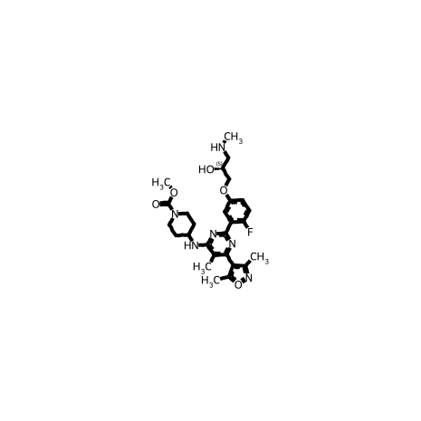 CNC[C@H](O)COc1ccc(F)c(-c2nc(NC3CCN(C(=O)OC)CC3)c(C)c(-c3c(C)noc3C)n2)c1